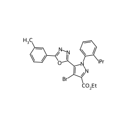 CCOC(=O)c1nn(-c2ccccc2C(C)C)c(-c2nnc(-c3cccc(C)c3)o2)c1Br